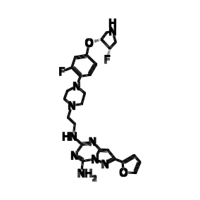 Nc1nc(NCCN2CCN(c3ccc(O[C@@H]4CNC[C@@H]4F)cc3F)CC2)nc2cc(-c3ccco3)nn12